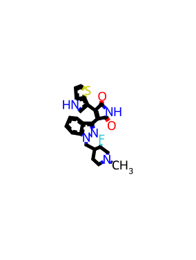 CN1CCC(Cn2nc(C3=C(c4c[nH]c5ccsc45)C(=O)NC3=O)c3ccccc32)C(F)C1